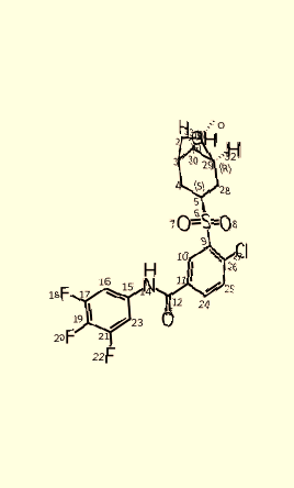 C[C@H]1CC2C[C@H](S(=O)(=O)c3cc(C(=O)Nc4cc(F)c(F)c(F)c4)ccc3Cl)C[C@H]1[C@@H]2O